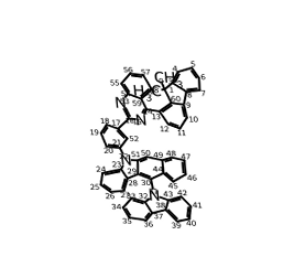 CC1(C)c2ccccc2-c2cccc(-c3nc(-c4cccc(-n5c6ccccc6c6c(-n7c8ccccc8c8ccccc87)c7ccccc7cc65)c4)nc4ccccc34)c21